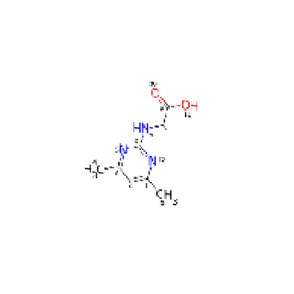 Cc1cc(C)nc(NCC(=O)O)n1